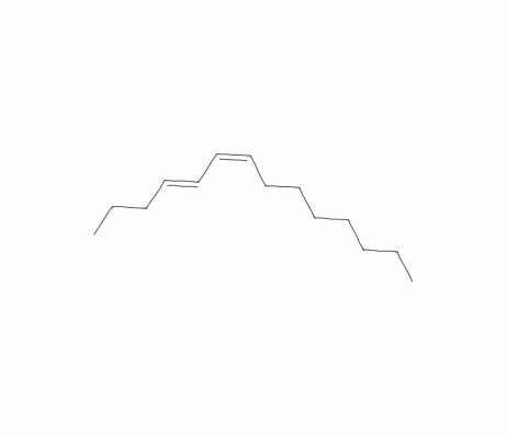 CCC/C=C/C=C\CCCCCCC